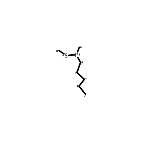 CCCCCP(C)SC